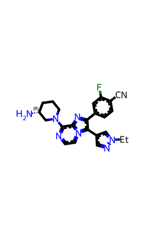 CCn1cc(-c2c(-c3ccc(C#N)c(F)c3)nc3c(N4CCC[C@@H](N)C4)nccn23)cn1